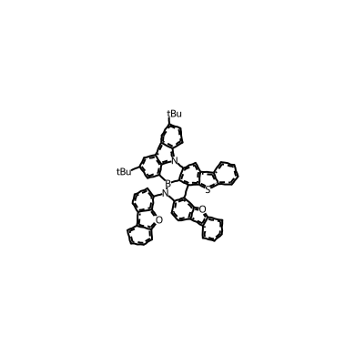 CC(C)(C)c1ccc2c(c1)c1cc(C(C)(C)C)cc3c1n2-c1cc2c(sc4ccccc42)c2c1B3N(c1cccc3c1oc1ccccc13)c1ccc3c(oc4ccccc43)c1-2